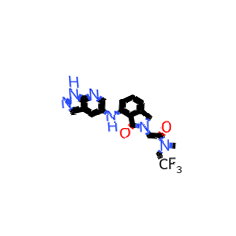 CN(CC(F)(F)F)C(=O)CN1Cc2cccc(Nc3cnc4[nH]ncc4c3)c2C1=O